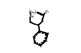 CC(C)CC([CH2][Mg][Br])c1ccccc1